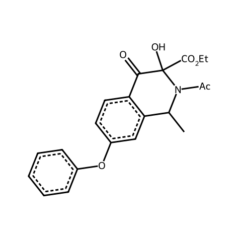 CCOC(=O)C1(O)C(=O)c2ccc(Oc3ccccc3)cc2C(C)N1C(C)=O